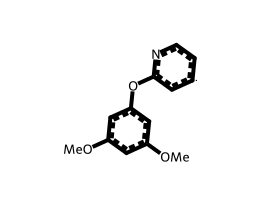 COc1cc(OC)cc(Oc2c[c]ccn2)c1